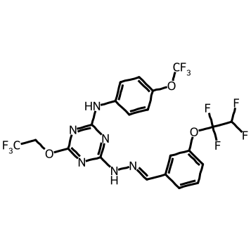 FC(F)C(F)(F)Oc1cccc(/C=N/Nc2nc(Nc3ccc(OC(F)(F)F)cc3)nc(OCC(F)(F)F)n2)c1